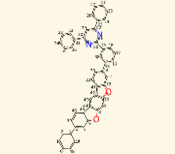 C1=CCC(C2=CC3Oc4cc5oc6cc(-c7cccc(-c8nc(-c9ccccc9)cc(-c9ccccc9)n8)c7)ccc6c5cc4C3C=C2)C=C1